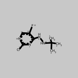 CC(C)(C)NNc1nc(Cl)ncc1F